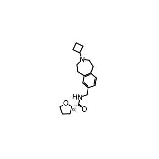 O=C(NCc1ccc2c(c1)CCN(C1CCC1)CC2)[C@@H]1CCCO1